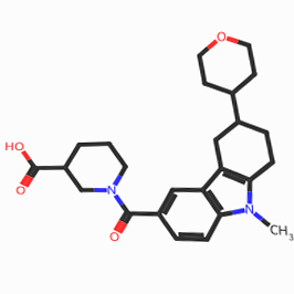 Cn1c2c(c3cc(C(=O)N4CCCC(C(=O)O)C4)ccc31)CC(C1CCOCC1)CC2